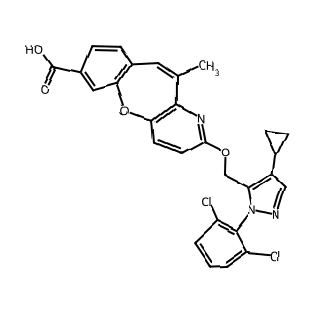 CC1=Cc2ccc(C(=O)O)cc2Oc2ccc(OCc3c(C4CC4)cnn3-c3c(Cl)cccc3Cl)nc21